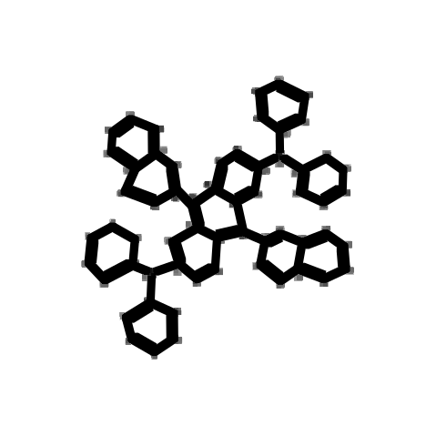 C1=CCCC(N(c2ccccc2)c2ccc3c(-c4ccc5ccccc5c4)c4cc(N(C5=CC=CCC5)c5ccccc5)ccc4c(-c4ccc5ccccc5c4)c3c2)=C1